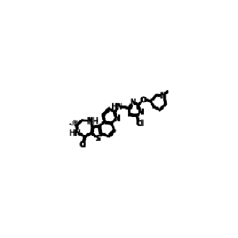 C[C@@H]1CNc2c(sc3ccc4nc(Nc5cc(Cl)nc(OC6CCCN(C)C6)n5)ccc4c23)C(=O)N1